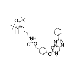 CN(Cc1nnc(-c2ccccc2)nn1)C(=O)Oc1ccc(COC(=O)NCCCC[C@@H](NC(C)(C)C)C(=O)C(C)(C)C)cc1